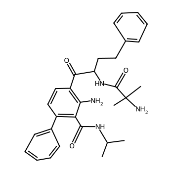 CC(C)NC(=O)c1c(-c2ccccc2)ccc(C(=O)C(CCc2ccccc2)NC(=O)C(C)(C)N)c1N